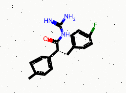 Cc1ccc([C@@H](Cc2ccc(F)cc2)C(=O)NC(=N)N)cc1